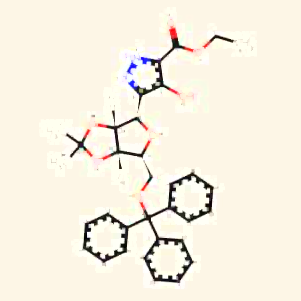 CCOC(=O)c1[nH]nc([C@H]2O[C@@H](COC(c3ccccc3)(c3ccccc3)c3ccccc3)[C@@H]3OC(C)(C)O[C@@H]32)c1O